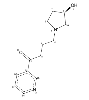 O=C(CCCN1CC[C@@H](O)C1)c1cccnc1